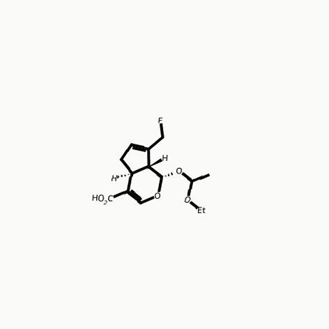 CCOC(C)O[C@@H]1OC=C(C(=O)O)[C@H]2CC=C(CF)[C@H]12